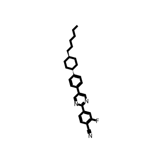 CCCCCC[C@H]1CC[C@H](c2ccc(-c3cnc(-c4ccc(C#N)c(F)c4)nc3)cc2)CC1